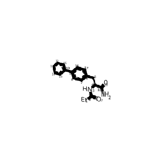 CCC(=O)N[C@@H](Cc1ccc(-c2ccccc2)cc1)C(N)=O